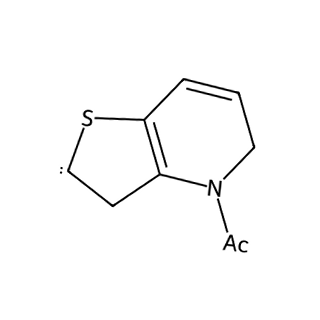 CC(=O)N1CC=CC2=C1C[C]S2